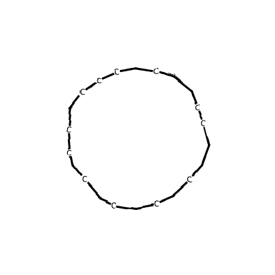 [CH]1CCCCCCCC[CH]CCCCCCCCCCCC1